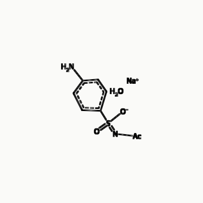 CC(=O)N=S(=O)([O-])c1ccc(N)cc1.O.[Na+]